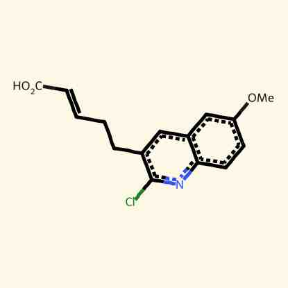 COc1ccc2nc(Cl)c(CCC=CC(=O)O)cc2c1